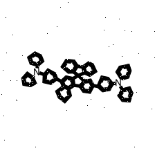 c1ccc(N(c2ccccc2)c2ccc(-c3ccc4c(c3)C3(c5ccccc5-c5ccccc53)c3cc(-c5ccc(N(c6ccccc6)c6ccccc6)cc5)c5ccccc5c3-4)cc2)cc1